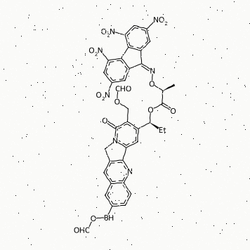 CC[C@H](OC(=O)[C@H](C)ON=C1c2cc([N+](=O)[O-])cc([N+](=O)[O-])c2-c2c1cc([N+](=O)[O-])cc2[N+](=O)[O-])c1cc2n(c(=O)c1COC=O)Cc1cc3cc(BOC=O)ccc3nc1-2